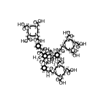 Cc1c(C(=O)N(C)c2cccc(NC(=O)CN3CCN(CC(=O)O)CCN(CC(=O)O)CCN(CC(=O)O)CC3)c2)c(C)c(C(=O)N(C)c2cccc(NC(=O)CN3CCN(CC(=O)O)CCN(CC(=O)O)CCN(CC(=O)O)CC3)c2)c(C)c1C(=O)N(C)c1cccc(NC(=O)CN2CCN(CC(=O)O)CCN(CC(=O)O)CCN(CC(=O)O)CC2)c1